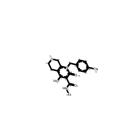 CCNC(=O)c1c(O)c2c(n(Cc3ccc(C#N)cc3)c1=O)COCC2